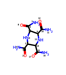 NC(=O)C1NC(C(N)=O)C(C(N)=O)NC1C(N)=O